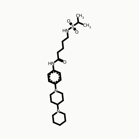 CC(C)S(=O)(=O)NCCCCC(=O)Nc1ccc(N2CCC(N3CCCCC3)CC2)cc1